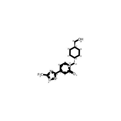 O=c1cc(-c2noc(C(F)(F)F)n2)ccn1C[C@H]1CC[C@H](CO)CC1